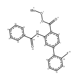 CC(C)(C)OOC(=O)c1ccc(-c2ccccc2F)cc1NC(=O)c1ccccc1